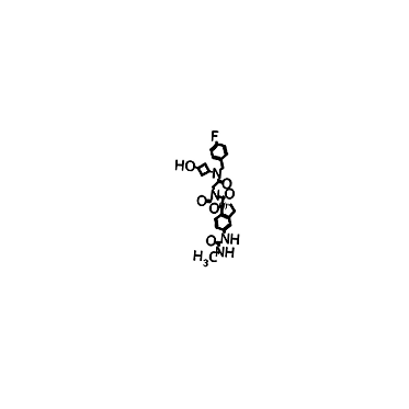 CNC(=O)Nc1ccc2c(c1)CC[C@@]21OC(=O)N(CC(=O)N(Cc2ccc(F)cc2)[C@H]2C[C@H](O)C2)C1=O